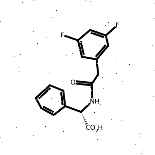 O=C(Cc1cc(F)cc(F)c1)N[C@H](C(=O)O)c1ccccc1